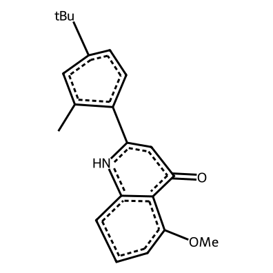 COc1cccc2[nH]c(-c3ccc(C(C)(C)C)cc3C)cc(=O)c12